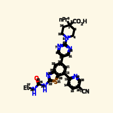 CCCC1(C(=O)O)CCN(c2ncc(-c3cc(-c4ccc(C#N)cn4)c4sc(NC(=O)NCC)nc4c3)cn2)CC1